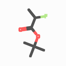 CC(F)C(=O)OC(C)(C)C